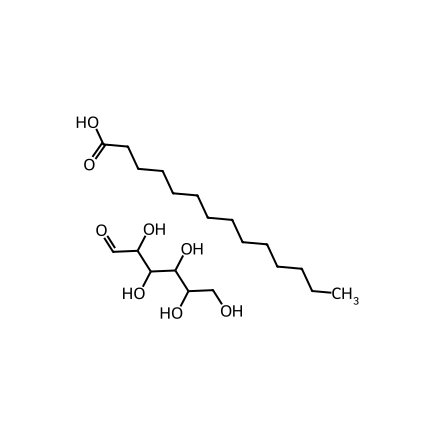 CCCCCCCCCCCCCC(=O)O.O=CC(O)C(O)C(O)C(O)CO